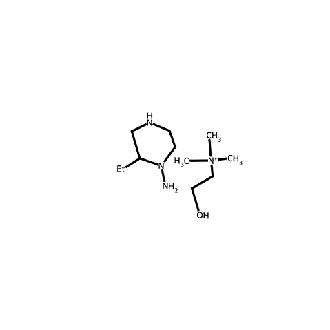 CCC1CNCCN1N.C[N+](C)(C)CCO